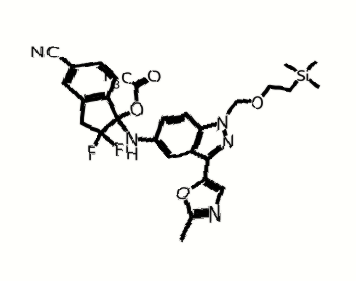 Cc1ncc(-c2nn(COCC[Si](C)(C)C)c3ccc(NC4(OC(=O)C(F)(F)F)c5ccc(C#N)cc5CC4(F)F)cc23)o1